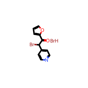 Br.O=C(c1ccco1)C(Br)c1ccncc1